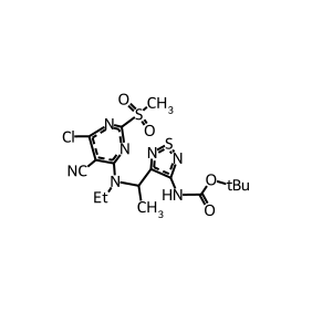 CCN(c1nc(S(C)(=O)=O)nc(Cl)c1C#N)C(C)c1nsnc1NC(=O)OC(C)(C)C